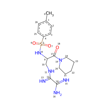 Cc1ccc(S(=O)(=O)NC(CNC(=N)C(=N)N)C(=O)N2CCCCC2)cc1